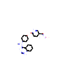 CN(c1ccc(Oc2ccc(C(=O)NO)cn2)cc1)c1ncnc2ccccc12